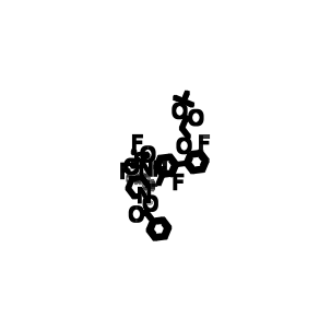 CC(C)(C)OC(=O)CCOc1c(F)cccc1-c1cccc(C[C@H]2[C@@H](NS(=O)(=O)CF)[C@@H](F)CCN2OC(=O)c2ccccc2)c1F